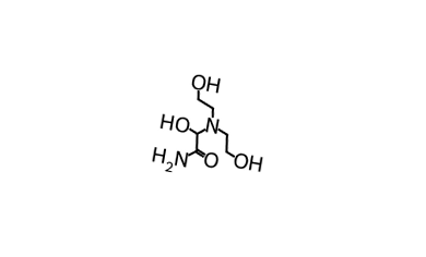 NC(=O)C(O)N(CCO)CCO